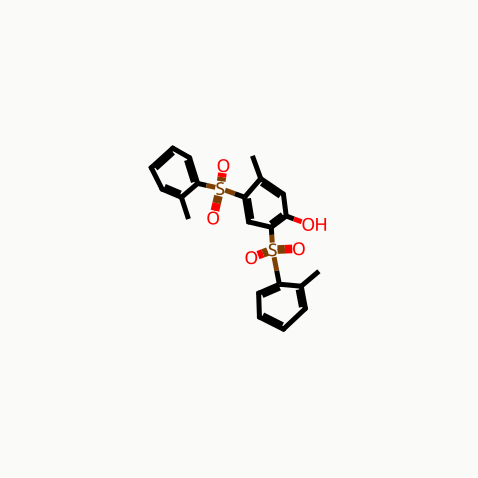 Cc1ccccc1S(=O)(=O)c1cc(S(=O)(=O)c2ccccc2C)c(O)cc1C